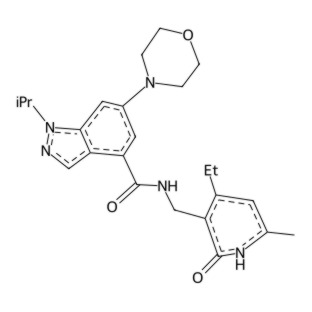 CCc1cc(C)[nH]c(=O)c1CNC(=O)c1cc(N2CCOCC2)cc2c1cnn2C(C)C